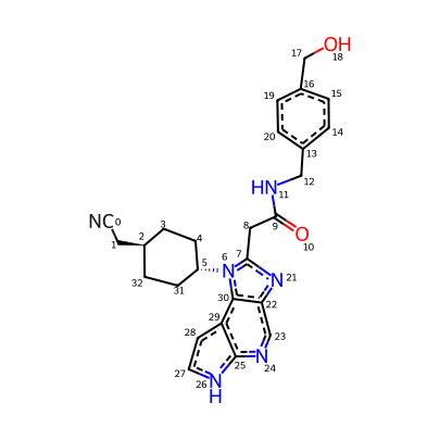 N#CC[C@H]1CC[C@H](n2c(CC(=O)NCc3ccc(CO)cc3)nc3cnc4[nH]ccc4c32)CC1